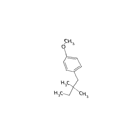 CCC(C)(C)Cc1ccc(OC)cc1